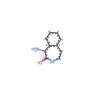 Nc1c(=O)nccc2ccccc12